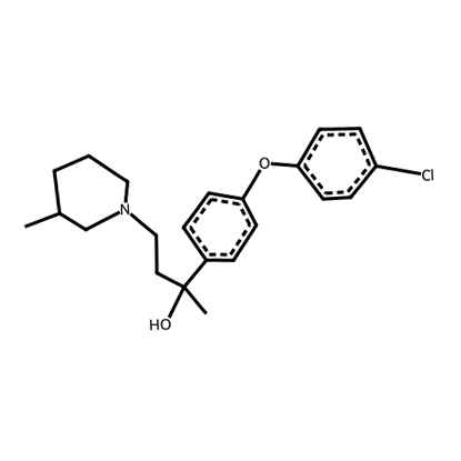 CC1CCCN(CCC(C)(O)c2ccc(Oc3ccc(Cl)cc3)cc2)C1